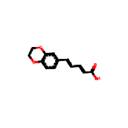 O=C(O)C=CC=Cc1ccc2c(c1)OCCO2